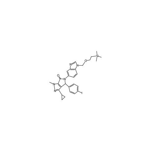 Cn1nc(C2CC2)c2c1C(=O)N(c1ccc3c(c1)ncn3COCC[Si](C)(C)C)C2c1ccc(I)cc1